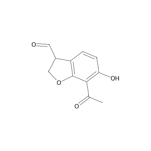 CC(=O)c1c(O)ccc2c1OCC2C=O